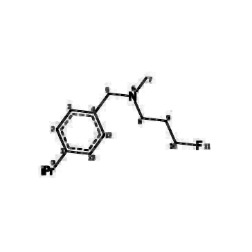 CC(C)c1ccc(CN(C)CCCF)cc1